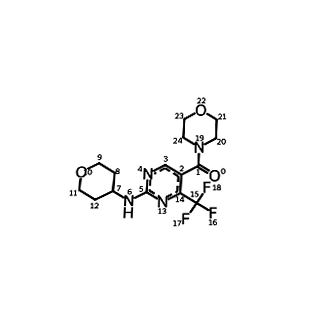 O=C(c1cnc(NC2CCOCC2)nc1C(F)(F)F)N1CCOCC1